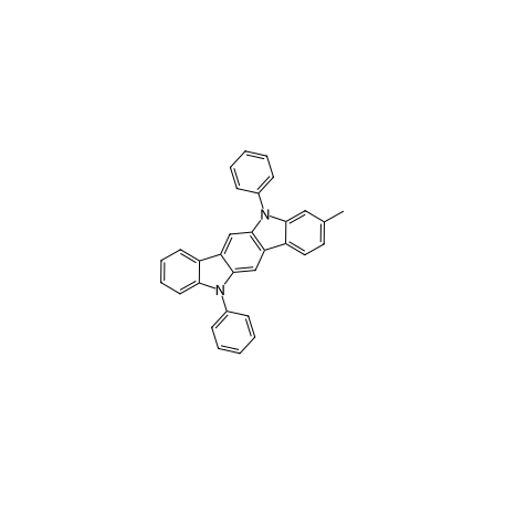 Cc1ccc2c3cc4c(cc3n(-c3ccccc3)c2c1)c1ccccc1n4-c1ccccc1